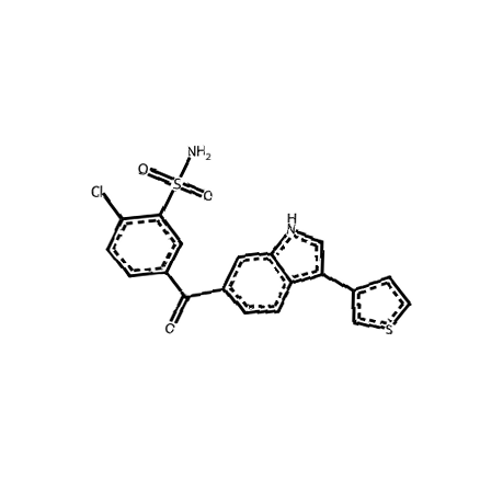 NS(=O)(=O)c1cc(C(=O)c2ccc3c(-c4ccsc4)c[nH]c3c2)ccc1Cl